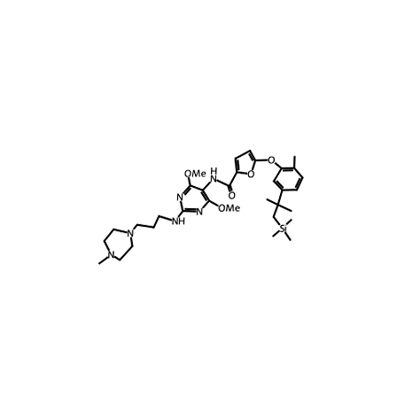 COc1nc(NCCCN2CCN(C)CC2)nc(OC)c1NC(=O)c1ccc(Oc2cc(C(C)(C)C[Si](C)(C)C)ccc2C)o1